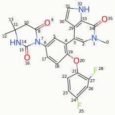 Cn1cc(-c2cc(N3C(=O)CC(C)(C)NC3=O)ccc2Oc2ccc(F)cc2F)c2cc[nH]c2c1=O